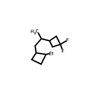 CCC1CCC1CC(C)C1CC(F)(F)C1